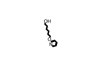 OCCCCCCOc1ccccn1